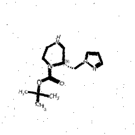 CC(C)(C)OC(=O)N1CCNC[C@@H]1Cn1cccn1